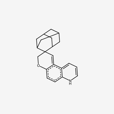 C1=CNc2ccc3c(c2=C1)=CC1(CO3)C2CC3CC(C2)CC1C3